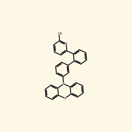 N#Cc1cccc(-c2ccccc2-c2cccc(N3c4ccccc4Sc4ccccc43)c2)n1